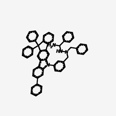 NC(NN(Cc1ccccc1)Cc1cccc(-n2c3cc(-c4ccccc4)ccc3c3cc4c(cc32)-c2ccccc2C4(c2ccccc2)c2ccccc2)c1)c1ccccc1